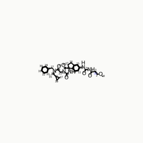 CO/C=C/C(=O)NC(=O)Nc1ccc2c(c1)CCC21NC(=O)N(CC(=O)N(Cc2ccccc2)[C@@H](C)C2CC2)C1=O